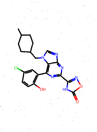 CC1CCC(Cn2cnc3nc(-c4noc(=O)[nH]4)nc(-c4cc(Cl)ccc4O)c32)CC1